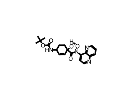 CON(C(=O)C1(O)C=CC(NC(=O)OC(C)(C)C)CC1)c1ccnc2cccnc12